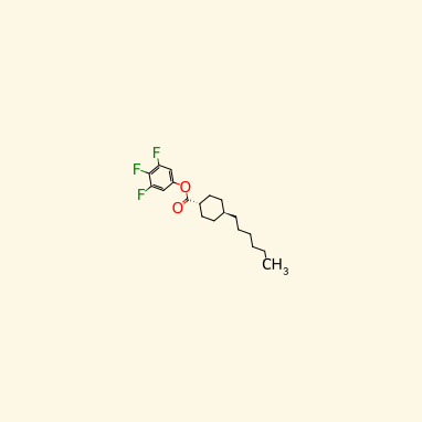 CCCCCC[C@H]1CC[C@H](C(=O)Oc2cc(F)c(F)c(F)c2)CC1